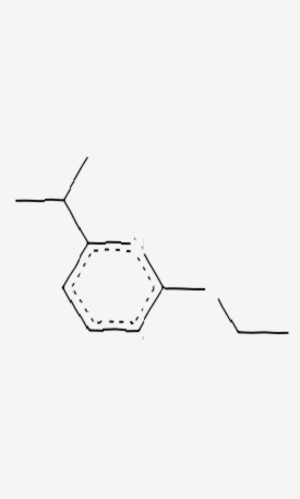 CCSc1cccc(C(C)C)n1